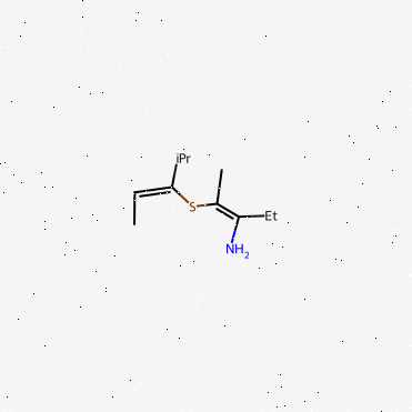 C/C=C(\S/C(C)=C(\N)CC)C(C)C